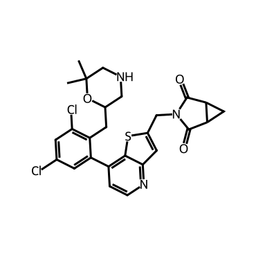 CC1(C)CNCC(Cc2c(Cl)cc(Cl)cc2-c2ccnc3cc(CN4C(=O)C5CC5C4=O)sc23)O1